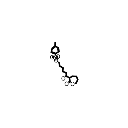 Cc1ccc(S(=O)(=O)OCCCCCC(=O)C2CCCCOC2=O)cc1